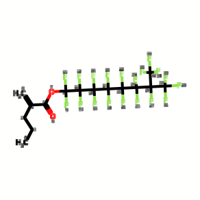 C=C(CCC)C(=O)OC(F)(F)C(F)(F)C(F)(F)C(F)(F)C(F)(F)C(F)(F)C(F)(C(F)(F)F)C(F)(F)F